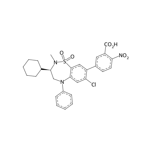 CN1[C@H](C2CCCCC2)CN(c2ccccc2)c2cc(Cl)c(-c3ccc([N+](=O)[O-])c(C(=O)O)c3)cc2S1(=O)=O